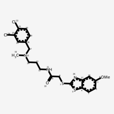 COc1ccc2sc(SCC(=O)NCCCN(C)Cc3ccc(Cl)c(Cl)c3)nc2c1